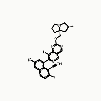 C#Cc1c(F)ccc2cc(O)cc(-c3ncc4cnc(OC[C@@]56CCCN5C[C@H](F)C6)nc4c3F)c12